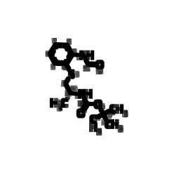 C[C@H](CSc1ccccc1NC=O)NC(=O)OC(C)(C)C